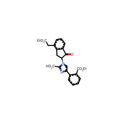 CCOC(=O)Cc1cccc2c1CC(n1cc(-c3ccccc3C(=O)OCC)nc1C(=O)O)C2=O